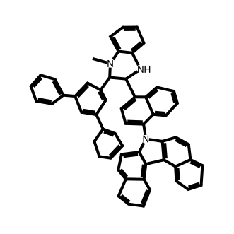 CN1c2ccccc2NC(c2ccc(-n3c4ccc5ccccc5c4c4c5ccccc5ccc43)c3ccccc23)C1c1cc(C2=CC=CCC2)cc(-c2ccccc2)c1